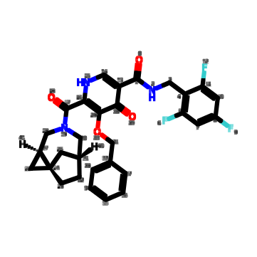 O=C(NCc1c(F)cc(F)cc1F)c1c[nH]c(C(=O)N2C[C@@H]3CC[C@@]4(C3)C[C@H]4C2)c(OCc2ccccc2)c1=O